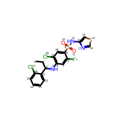 CCC(Nc1cc(F)c(S(=O)(=O)Nc2cscn2)cc1Cl)c1ccccc1Cl